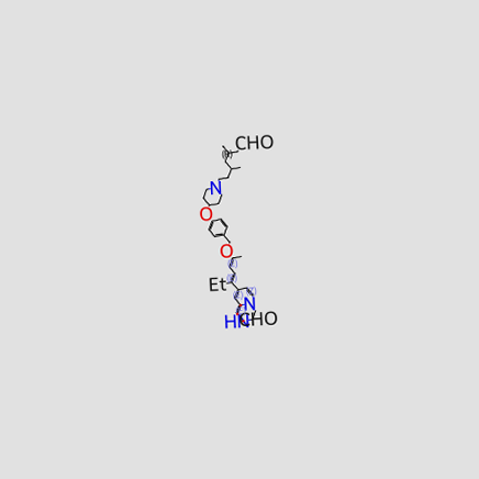 CCC(=C\C=C(/C)OCc1ccc(OC2CCN(CCC(C)C[C@@H](C)CC=O)CC2)cc1)/C(/C=C\N1CCNCC1)=C/C=C/C=O